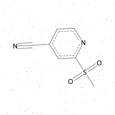 CS(=O)(=O)c1cc(C#N)ccn1